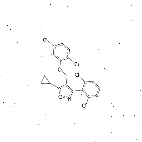 Clc1[c]c(OCc2c(-c3c(Cl)cccc3Cl)noc2C2CC2)c(Cl)cc1